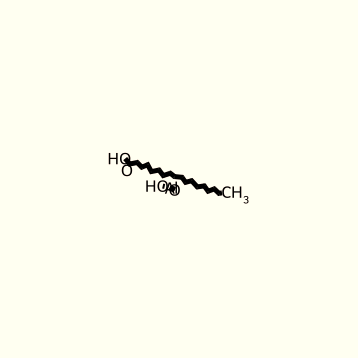 CCCCCCCCCCCCCCCCCC(=O)O.[O]=[Al][OH]